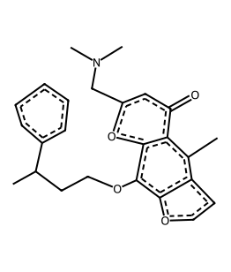 Cc1c2ccoc2c(OCCC(C)c2ccccc2)c2oc(CN(C)C)cc(=O)c12